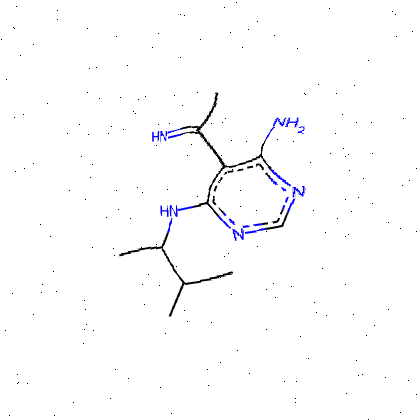 CC(=N)c1c(N)ncnc1NC(C)C(C)C